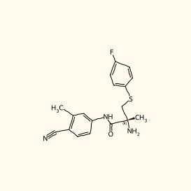 Cc1cc(NC(=O)[C@@](C)(N)CSc2ccc(F)cc2)ccc1C#N